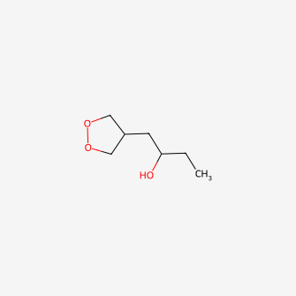 CCC(O)CC1COOC1